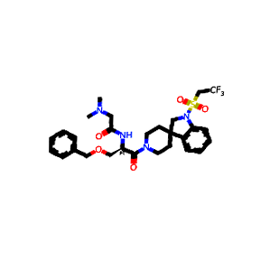 CN(C)CC(=O)N[C@H](COCc1ccccc1)C(=O)N1CCC2(CC1)CN(S(=O)(=O)CC(F)(F)F)c1ccccc12